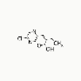 CCC(=Cc1cnc(Cl)cn1)C(=O)O